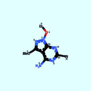 CCOn1nc(OC)c2c(N)nc(CC)nc21